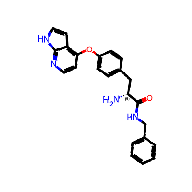 N[C@H](Cc1ccc(Oc2ccnc3[nH]ccc23)cc1)C(=O)NCc1ccccc1